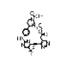 CCOC(=O)Cc1cncnc1C#Cc1nc(Nc2ccc(C3CCN(C(=O)O)CC3)cc2)ncc1C(F)(F)F